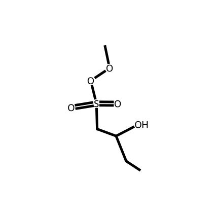 CCC(O)CS(=O)(=O)OOC